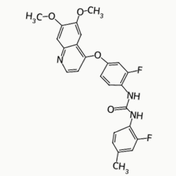 COc1cc2nccc(Oc3ccc(NC(=O)Nc4ccc(C)cc4F)c(F)c3)c2cc1OC